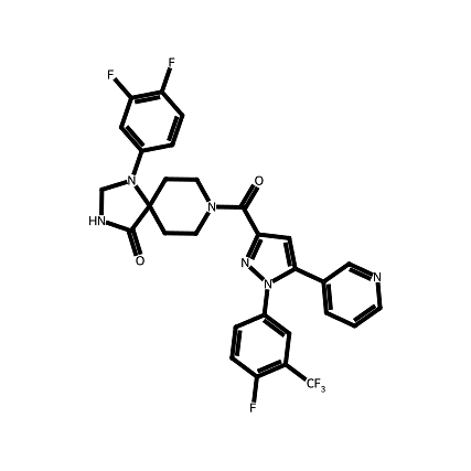 O=C(c1cc(-c2cccnc2)n(-c2ccc(F)c(C(F)(F)F)c2)n1)N1CCC2(CC1)C(=O)NCN2c1ccc(F)c(F)c1